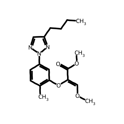 CCCCc1cnn(-c2ccc(C)c(O/C(=C\OC)C(=O)OC)c2)n1